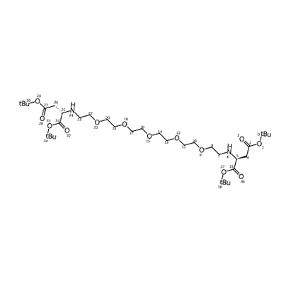 CC(C)(C)OC(=O)C[C@H](NCCOCCOCCOCCOCCOCCN[C@@H](CC(=O)OC(C)(C)C)C(=O)OC(C)(C)C)C(=O)OC(C)(C)C